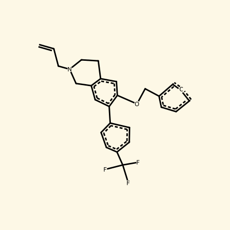 C=CCN1CCc2cc(OCc3ccccc3)c(-c3ccc(C(F)(F)F)cc3)cc2C1